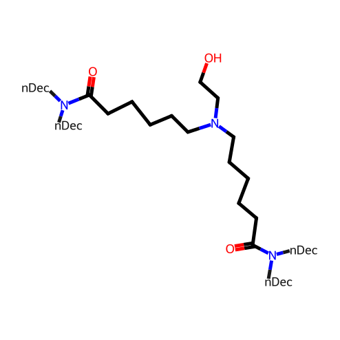 CCCCCCCCCCN(CCCCCCCCCC)C(=O)CCCCCN(CCO)CCCCCC(=O)N(CCCCCCCCCC)CCCCCCCCCC